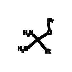 [CH2]CC(N)([SiH3])OC(C)C